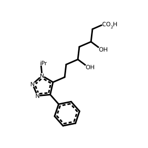 CC(C)n1nnc(-c2ccccc2)c1CCC(O)CC(O)CC(=O)O